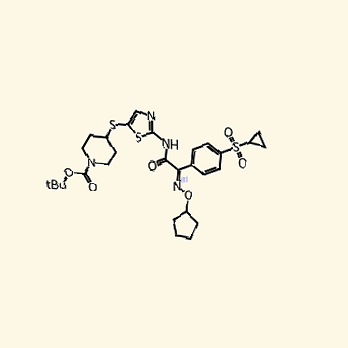 CC(C)(C)OC(=O)N1CCC(Sc2cnc(NC(=O)/C(=N/OC3CCCC3)c3ccc(S(=O)(=O)C4CC4)cc3)s2)CC1